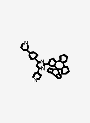 c1cncc(-c2ccc(-c3cc(-c4ccncc4)nc(-c4ccc5c(c4)C4(c6ccccc6-c6ccccc6-5)c5ccccc5-c5ccccc54)n3)cc2)c1